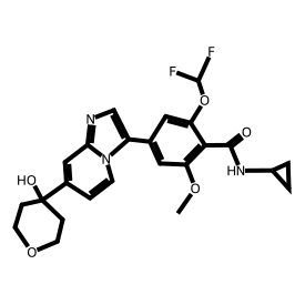 COc1cc(-c2cnc3cc(C4(O)CCOCC4)ccn23)cc(OC(F)F)c1C(=O)NC1CC1